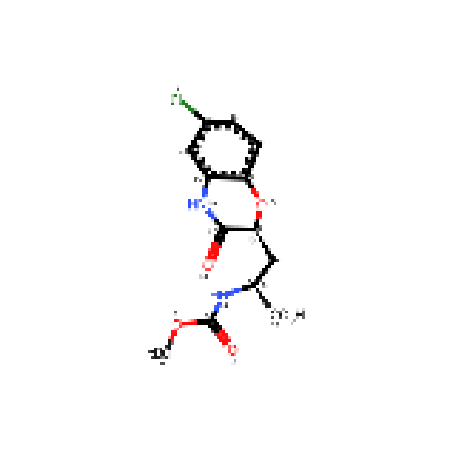 CC(C)(C)OC(=O)N[C@@H](C[C@@H]1Oc2ccc(Cl)cc2NC1=O)C(=O)O